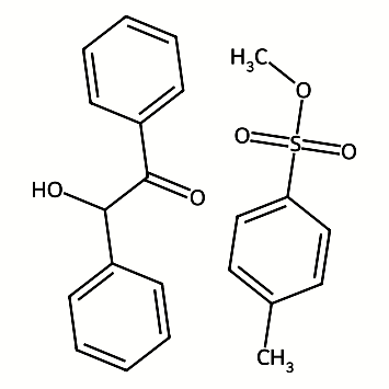 COS(=O)(=O)c1ccc(C)cc1.O=C(c1ccccc1)C(O)c1ccccc1